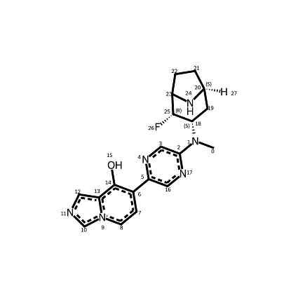 CN(c1cnc(-c2ccn3cncc3c2O)cn1)[C@H]1C[C@@H]2CCC(N2)[C@H]1F